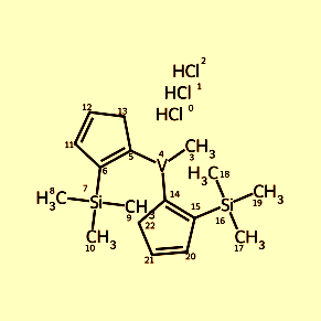 Cl.Cl.Cl.[CH3][V]([C]1=C([Si](C)(C)C)C=CC1)[C]1=C([Si](C)(C)C)C=CC1